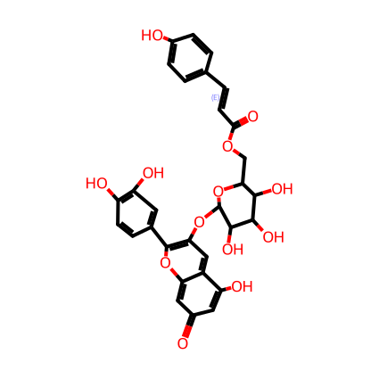 O=C(/C=C/c1ccc(O)cc1)OCC1OC(Oc2cc3c(O)cc(=O)cc-3oc2-c2ccc(O)c(O)c2)C(O)C(O)C1O